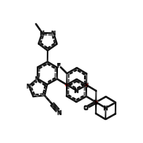 Cn1cc(-c2cc(-c3ccc(N4CC5CC(C4)N5C(=O)Cc4ccc(F)cn4)nc3)c3c(C#N)cnn3c2)cn1